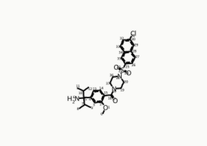 COc1cc(C(N)(C(C)C)C(C)C)ccc1C(=O)N1CCN(S(=O)(=O)c2ccc3cc(Cl)ccc3c2)CC1